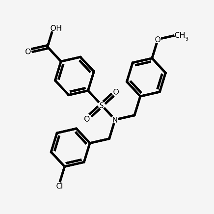 COc1ccc(CN(Cc2cccc(Cl)c2)S(=O)(=O)c2ccc(C(=O)O)cc2)cc1